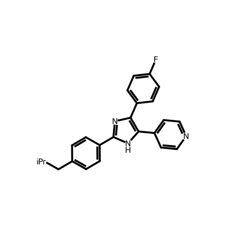 CC(C)Cc1ccc(-c2nc(-c3ccc(F)cc3)c(-c3ccncc3)[nH]2)cc1